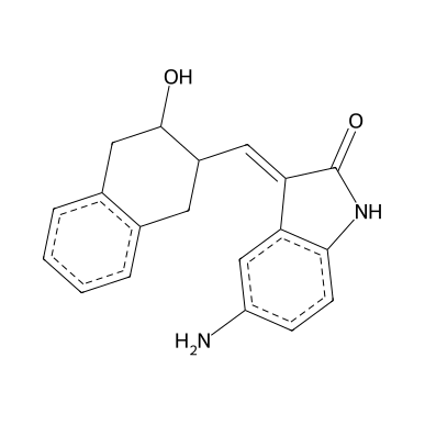 Nc1ccc2c(c1)C(=CC1Cc3ccccc3CC1O)C(=O)N2